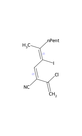 C=C(Cl)/C(C#N)=C\C(I)=C(/C)CCCCC